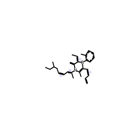 C=C/C=C\C1=C(C)N(/C(C)=C/C=C\CC(C)CC)C(=C)/C(=C\C)B1c1ccccc1C